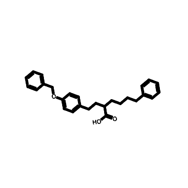 O=C(O)C(CCCCc1ccccc1)CCc1ccc(OCc2ccccc2)cc1